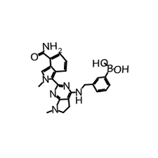 CN1CCc2c(NCc3cccc(B(O)O)c3)nc(-c3c4cccc(C(N)=O)c4cn3C)nc21